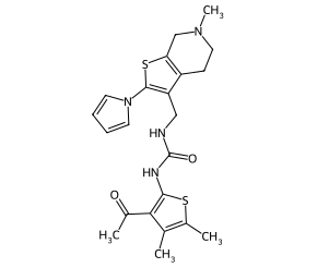 CC(=O)c1c(NC(=O)NCc2c(-n3cccc3)sc3c2CCN(C)C3)sc(C)c1C